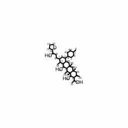 CC1CCC(C2CC(CCC(O)C3CCCO3)C(C)C3C(O)C4C(C)C5(C)C(O)C(C(C)O)C(C)CC5(C)CC4(C)CC23)CC1